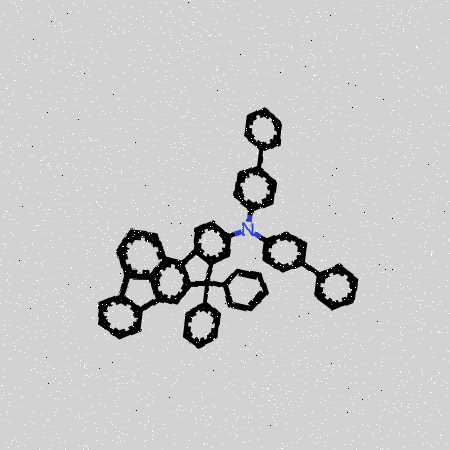 C1=CCC(C2(c3ccccc3)c3cc(N(c4ccc(-c5ccccc5)cc4)c4ccc(-c5ccccc5)cc4)ccc3-c3c2cc2c4c(cccc34)-c3ccccc3-2)C=C1